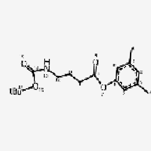 Cc1cc(C)cc(OC(=O)CCCNC(=O)OC(C)(C)C)c1